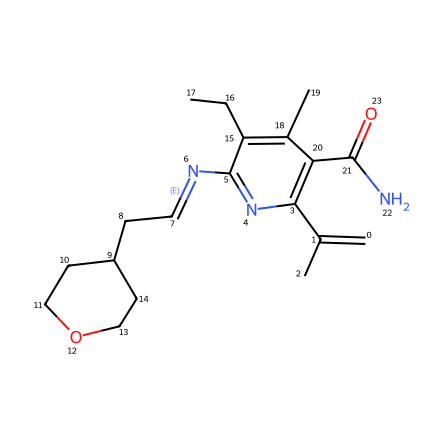 C=C(C)c1nc(/N=C/CC2CCOCC2)c(CC)c(C)c1C(N)=O